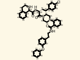 O=C(NCCc1cccc(Oc2ccccc2)c1)c1ccccc1N1CCN(C(=O)[C@@H](CCc2ccc(Cl)cc2)NC(=O)C2N[CH]Cc3ccccc32)CC1